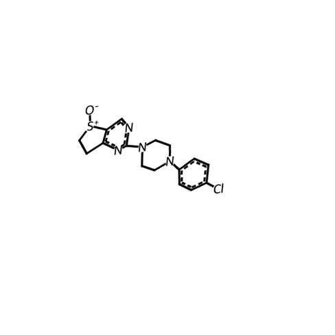 [O-][S+]1CCc2nc(N3CCN(c4ccc(Cl)cc4)CC3)ncc21